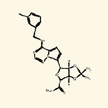 COC(=O)[C@H]1O[C@@H](c2ccc3c(NCc4cccc(I)c4)ncnn23)[C@@H]2OC(C)(C)O[C@@H]21